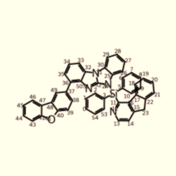 c1ccc([Si](c2ccccc2)(c2nccc3c2-c2ccccc2C3)n2c3ccccc3n3c4cccc(-c5ccc6oc7ccccc7c6c5)c4nc23)cc1